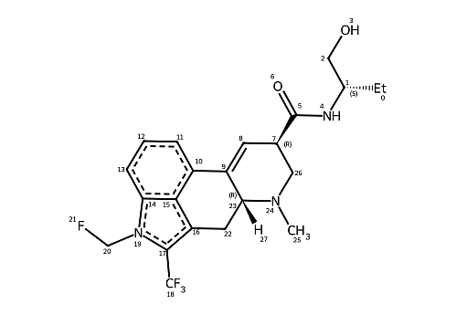 CC[C@@H](CO)NC(=O)[C@@H]1C=C2c3cccc4c3c(c(C(F)(F)F)n4CF)C[C@H]2N(C)C1